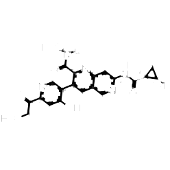 CCC(=O)c1cc(C)c(-c2cc3cnc(NC(=O)[C@H]4C[C@H]4F)cc3nc2C(=O)N(C)C)cn1